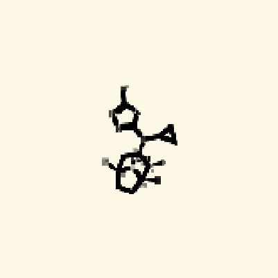 O=C(O)N1[C@@H]2CC[C@H]1[C@H](F)[C@H](N(c1nnc(Br)s1)C1CC1)C2